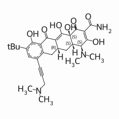 CN(C)CC#Cc1cc(C(C)(C)C)c(O)c2c1C[C@H]1C[C@H]3[C@H](N(C)C)C(O)=C(C(N)=O)C(=O)[C@@]3(O)C(O)=C1C2=O